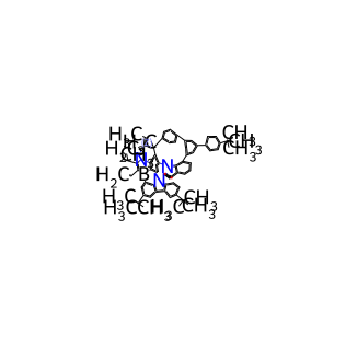 C=CC1=C(CC)N2C(=C)/C(=C\C)C3(C)c4ccc(cc4)-c4cc(-c5ccc(C(C)(C)C)cc5)cc(c4)-c4cccc5c6ccccc6n(c45)-c4cc5c(c2c43)B1c1cc(C(C)(C)C)cc2c3cc(C(C)(C)C)ccc3n-5c12